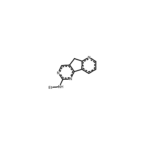 CCNc1ncc2c(n1)-c1cccnc1C2